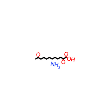 CC(=O)CCCCCCCCC(=O)C(=O)O.N